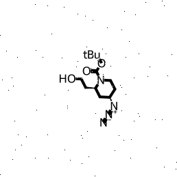 CC(C)(C)OC(=O)N1CC[C@H](N=[N+]=[N-])C[C@H]1CCO